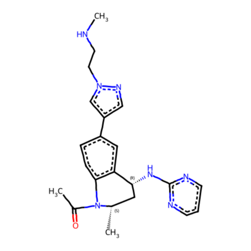 CNCCn1cc(-c2ccc3c(c2)[C@H](Nc2ncccn2)C[C@H](C)N3C(C)=O)cn1